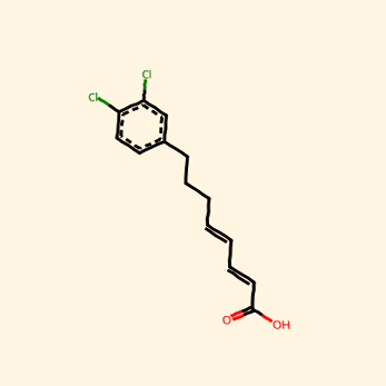 O=C(O)/C=C/C=CCCCc1ccc(Cl)c(Cl)c1